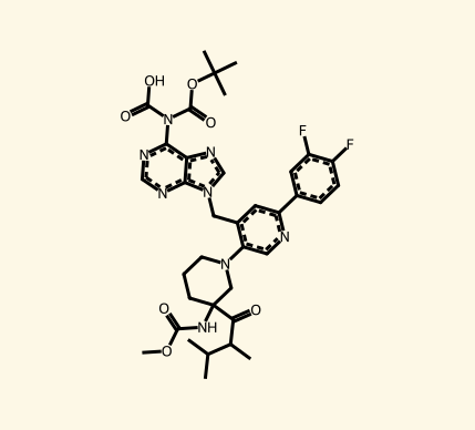 COC(=O)NC1(C(=O)C(C)C(C)C)CCCN(c2cnc(-c3ccc(F)c(F)c3)cc2Cn2cnc3c(N(C(=O)O)C(=O)OC(C)(C)C)ncnc32)C1